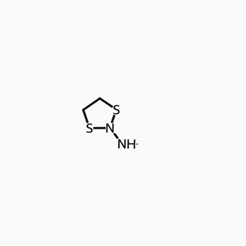 [NH]N1SCCS1